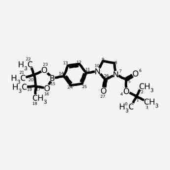 CC(C)(C)OC(=O)N1CCN(c2ccc(B3OC(C)(C)C(C)(C)O3)cc2)C1=O